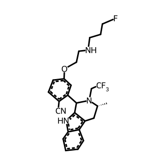 C[C@@H]1Cc2c([nH]c3ccccc23)C(c2cc(OCCNCCCF)ccc2C#N)N1CC(F)(F)F